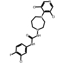 O=C(Nc1ccc(F)c(Cl)c1)NN1CCCN(c2c(Cl)cncc2Cl)CC1